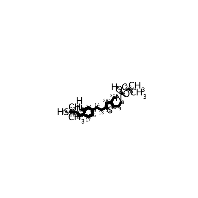 CC(C)(C)OC(=O)N1CCc2sc(CCc3ccc4cc(C(C)(C)S)[nH]c4c3)cc2C1